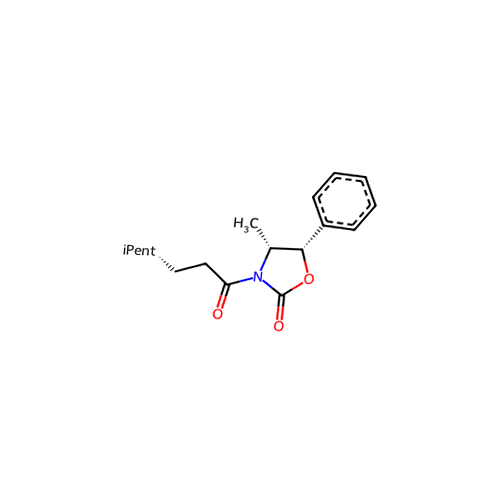 CCC[C@@H](C)CCC(=O)N1C(=O)O[C@@H](c2ccccc2)[C@H]1C